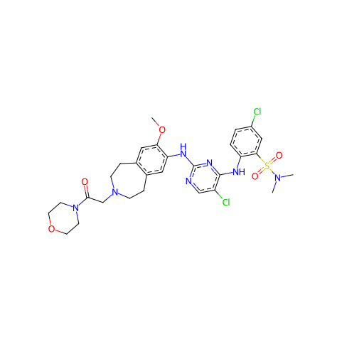 COc1cc2c(cc1Nc1ncc(Cl)c(Nc3ccc(Cl)cc3S(=O)(=O)N(C)C)n1)CCN(CC(=O)N1CCOCC1)CC2